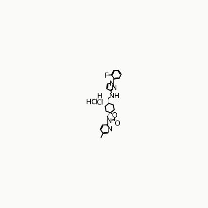 Cc1ccc(N2C[C@]3(CC[C@@H](CNc4ccn(-c5ccccc5F)n4)CC3)OC2=O)nc1.Cl.Cl